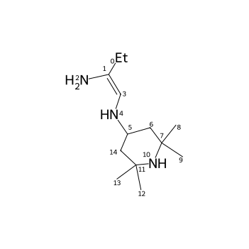 CC/C(N)=C/NC1CC(C)(C)NC(C)(C)C1